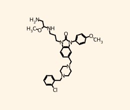 COc1ccc(-n2c(=O)n(CCCNC(CN)OC)c3ccc(CN4CCN(Cc5ccccc5Cl)CC4)cc32)cc1